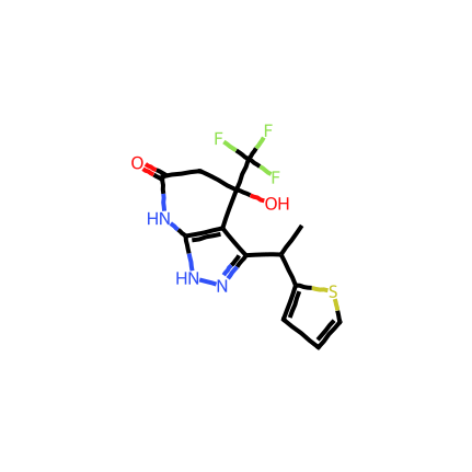 CC(c1cccs1)c1n[nH]c2c1C(O)(C(F)(F)F)CC(=O)N2